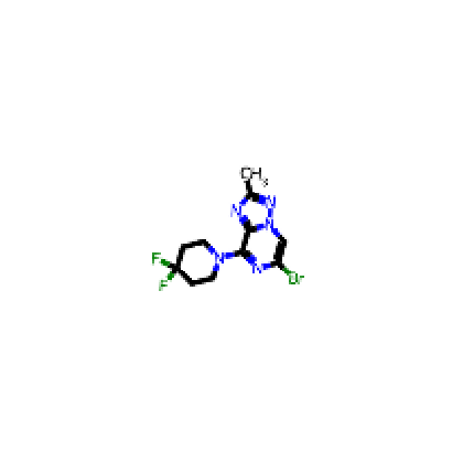 Cc1nc2c(N3CCC(F)(F)CC3)nc(Br)cn2n1